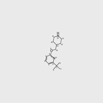 CC(C)(C)c1cccc(OCC2CCNCC2)n1